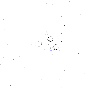 N#Cc1ccc2c(c1)c(C(CCN1CCC(N)CC1)c1cccc(OC(F)(F)F)c1)cn2C1CCCCC1